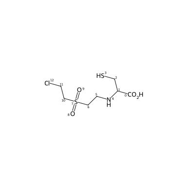 O=C(O)C(CS)NCCS(=O)(=O)CCCl